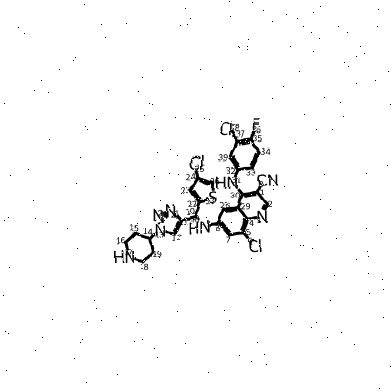 N#Cc1cnc2c(Cl)cc(N[C@H](c3cn(C4CCNCC4)nn3)c3cc(Cl)cs3)cc2c1Nc1ccc(F)c(Cl)c1